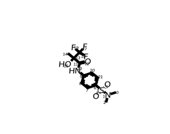 CN(C)S(=O)(=O)c1ccc(NC(=O)C(C)(O)C(F)(F)F)cc1